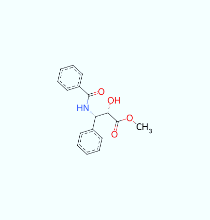 COC(=O)[C@@H](O)[C@@H](NC(=O)c1ccccc1)c1ccccc1